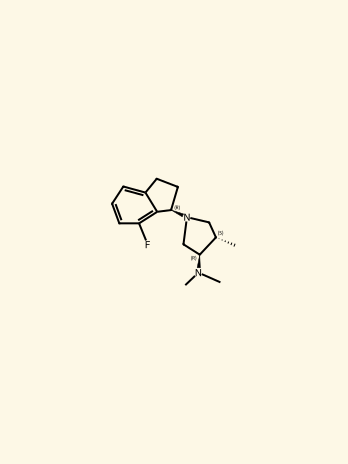 C[C@H]1CN([C@@H]2CCc3cccc(F)c32)C[C@@H]1N(C)C